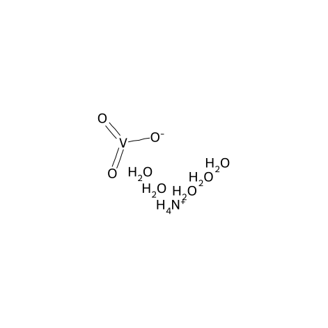 O.O.O.O.O.[NH4+].[O]=[V](=[O])[O-]